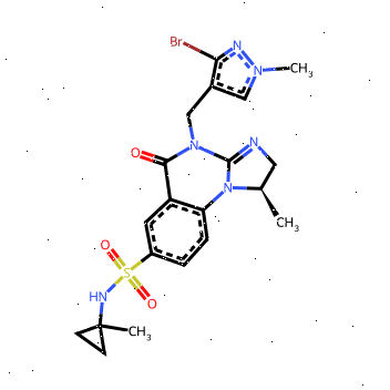 C[C@@H]1CN=C2N(Cc3cn(C)nc3Br)C(=O)c3cc(S(=O)(=O)NC4(C)CC4)ccc3N21